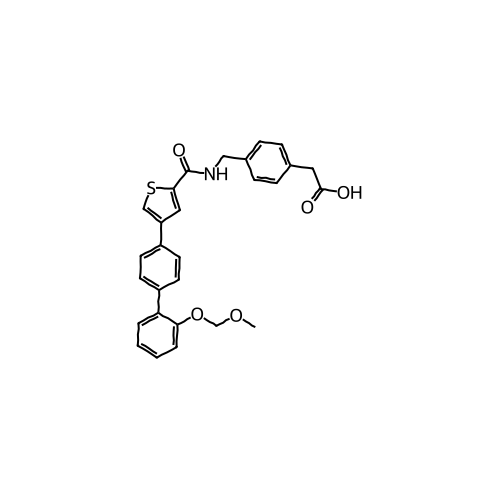 COCOc1ccccc1-c1ccc(-c2csc(C(=O)NCc3ccc(CC(=O)O)cc3)c2)cc1